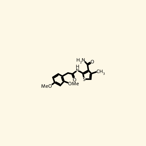 COc1ccc(CC(=O)Nc2scc(C)c2C(N)=O)c(OC)c1